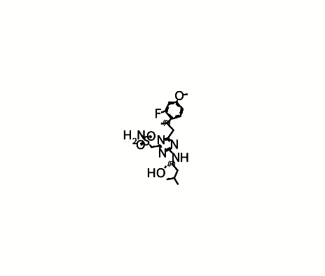 COc1ccc([C@H](C)Cc2nc(CS(N)(=O)=O)nc(N[C@@H](CO)CC(C)C)n2)c(F)c1